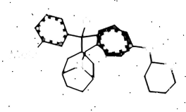 COc1cccc(C(O)(c2ccc(OC3CCCCO3)cc2)C2CC3CCC(C2)N3Cc2ccccc2)c1